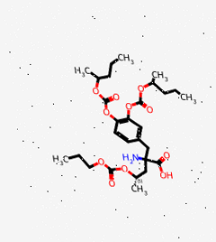 CCCOC(=O)O[C@@H](C)CC(N)(Cc1ccc(OC(=O)OC(C)CCC)c(OC(=O)OC(C)CCC)c1)C(=O)O